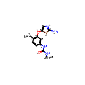 CCCCCNC(=O)Nc1ccc(OC)c(Oc2cnc(N)s2)c1